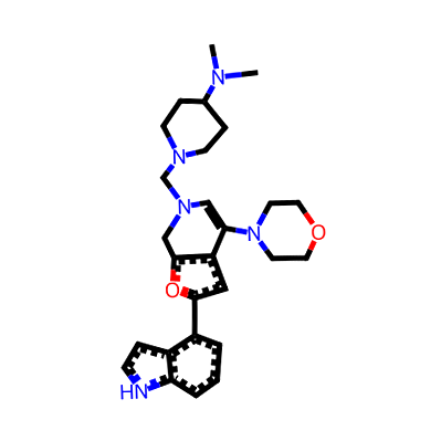 CN(C)C1CCN(CN2C=C(N3CCOCC3)c3cc(-c4cccc5[nH]ccc45)oc3C2)CC1